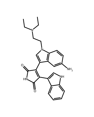 CCN(CC)CCn1cc(C2=C(c3c[nH]c4ccccc34)C(=O)NC2=O)c2cc(N)ccc21